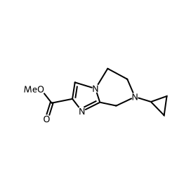 COC(=O)c1cn2c(n1)CN(C1CC1)CC2